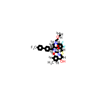 [2H]C1=C(SC([2H])([2H])c2cccc(F)c2F)N(CC(=O)N(C([2H])([2H])c2ccc(-c3ccc(C(F)(F)F)cc3)cc2)C2([2H])C([2H])([2H])C([2H])([2H])N(CCOC([2H])([2H])[2H])C([2H])([2H])C2([2H])[2H])c2c([2H])c([2H])c(C)c([2H])c2C1O